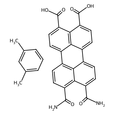 Cc1cccc(C)c1.NC(=O)c1ccc2c3ccc(C(=O)O)c4c(C(=O)O)ccc(c5ccc(C(N)=O)c1c25)c43